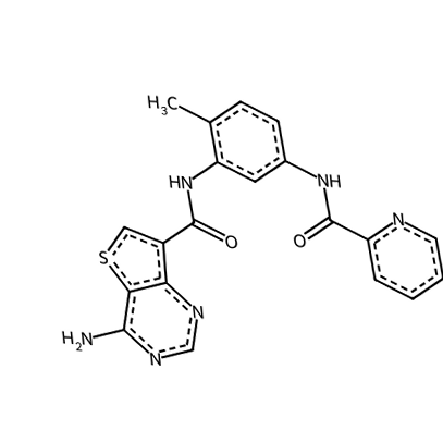 Cc1ccc(NC(=O)c2ccccn2)cc1NC(=O)c1csc2c(N)ncnc12